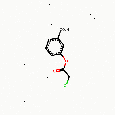 O=C(CCl)Oc1cccc(C(=O)O)c1